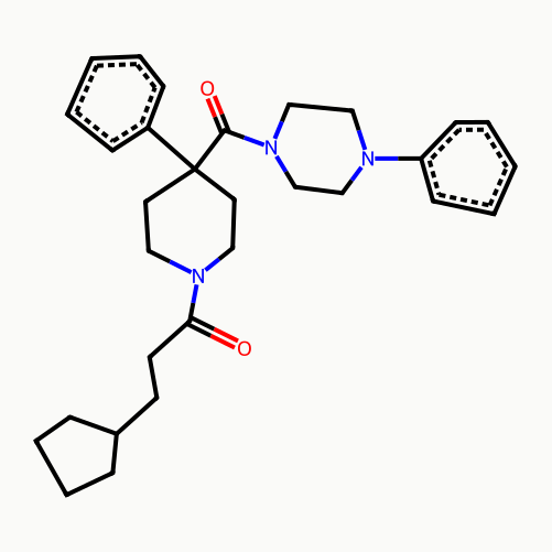 O=C(CCC1CCCC1)N1CCC(C(=O)N2CCN(c3ccccc3)CC2)(c2ccccc2)CC1